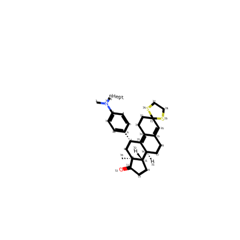 CCCCCCCN(C)c1ccc([C@H]2C[C@]3(C)C(=O)CC[C@H]3[C@@H]3CCC4=CC5(CCC4=C32)SCCS5)cc1